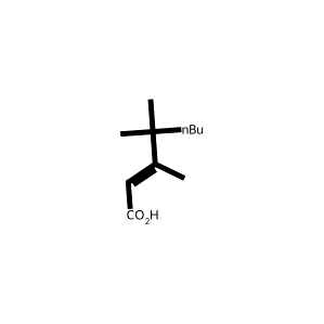 CCCCC(C)(C)/C(C)=C/C(=O)O